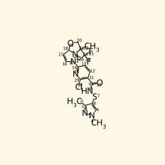 Cc1nn(C)cc1SNC(=O)c1ccc(N2C=CC3OCC(C)(C(F)(F)F)N32)nc1Cl